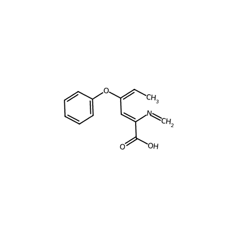 C=N/C(=C\C(=C/C)Oc1ccccc1)C(=O)O